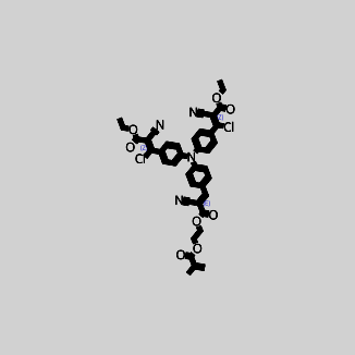 C=C(C)C(=O)OCCOC(=O)/C(C#N)=C/c1ccc(N(c2ccc(/C(Cl)=C(\C#N)C(=O)OCC)cc2)c2ccc(/C(Cl)=C(\C#N)C(=O)OCC)cc2)cc1